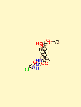 CC(C)C1=C2[C@H]3CC[C@@H]4[C@]5(C)CC[C@H]([C@@]6(C(=O)O)C[C@@H](C(=O)OCc7ccccc7)C6(C)C)C(C)(C)[C@H]5CC[C@@]4(C)[C@]3(C)CC[C@@]2(NC(=O)C(C)(C)NC(=O)c2ccc(Cl)cn2)CC1=O